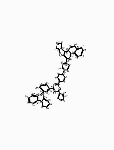 c1ccc(-c2nc(-c3ccc(-c4ccc(-c5nc6c7ccccc7ccc6c6c5oc5ccccc56)cc4)cc3)nc(-c3cccc(-n4c5ccccc5c5ccccc54)c3)n2)cc1